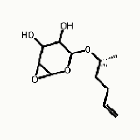 C=CCC[C@@H](C)OC1OC2OC2C(O)C1O